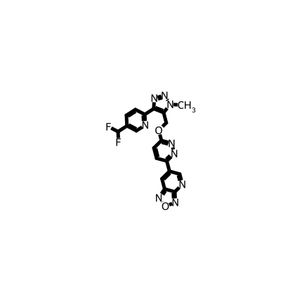 Cn1nnc(-c2ccc(C(F)F)cn2)c1COc1ccc(-c2cnc3nonc3c2)nn1